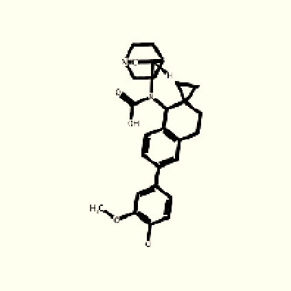 COc1cc(-c2ccc3c(c2)CCC2(CC2)C3N(C(=O)O)[C@@H]2CN3CCC2CC3)ccc1Cl